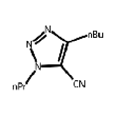 CCCCc1nnn(CCC)c1C#N